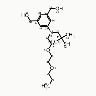 CCCOCCOCCN(CC(C)(C)S)c1cc(CO)cc(CO)c1